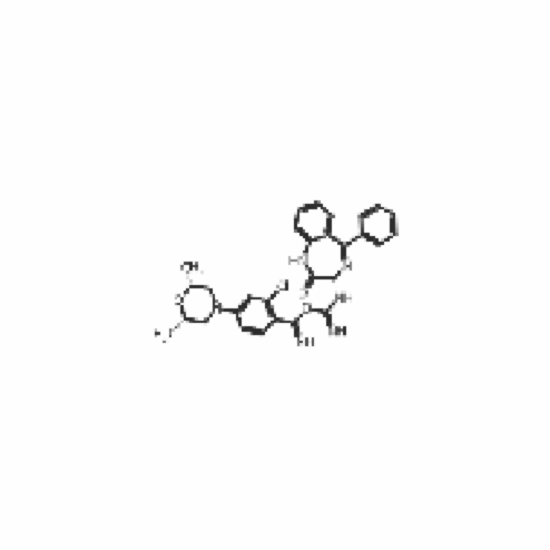 C[C@@H]1CN(c2ccc(C(=N)OC(=N)N[C@H]3N=C(c4ccccc4)c4ccccc4NC3=O)c(Cl)c2)C[C@H](C)O1